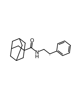 O=C(NC[CH]c1ccccc1)C12CC3CC(CC(C3)C1)C2